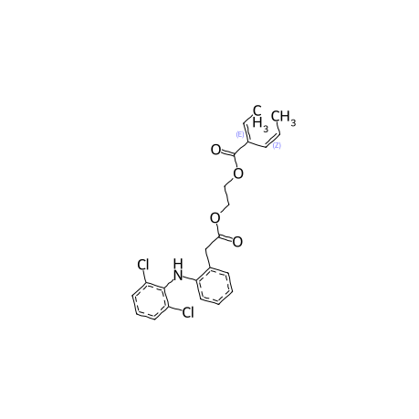 C/C=C\C(=C/C)C(=O)OCCOC(=O)Cc1ccccc1Nc1c(Cl)cccc1Cl